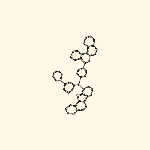 c1ccc(-c2cccc(N(c3ccc(-c4cc5ccc6ccccc6c5c5ccccc45)cc3)c3cccc4c3oc3c5ccccc5ccc43)c2)cc1